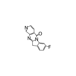 O=c1c2ccncc2nc2n1-c1cc(F)ccc1C2